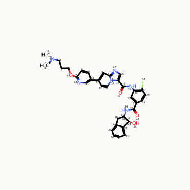 CN(C)CCCOc1ccc(-c2ccn3c(C(=O)Nc4cc(C(=O)N[C@@H]5Cc6ccccc6[C@@H]5O)ccc4F)cnc3c2)cn1